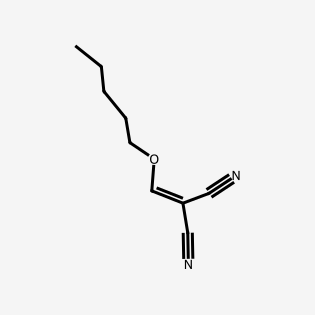 CCCCCOC=C(C#N)C#N